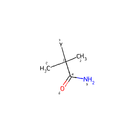 C[C](C)([Y])C(N)=O